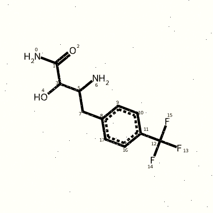 NC(=O)C(O)C(N)Cc1ccc(C(F)(F)F)cc1